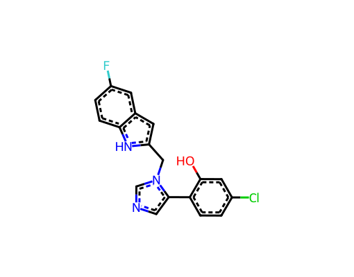 Oc1cc(Cl)ccc1-c1cncn1Cc1cc2cc(F)ccc2[nH]1